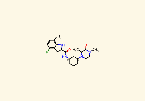 Cc1ccc(F)c2c1NC(C(=O)N[C@@H]1CCC[C@H](N3CCN(C)C(=O)C3C)C1)C2